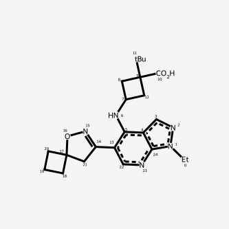 CCn1ncc2c(NC3CC(C(=O)O)(C(C)(C)C)C3)c(C3=NOC4(CCC4)C3)cnc21